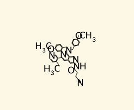 CCc1ccncc1-c1cc2cc(NC(=O)CCC#N)ncc2c(N(Cc2ccc(OC)cc2)Cc2ccc(OC)cc2)n1